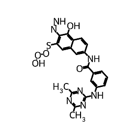 Cc1nc(C)nc(Nc2cccc(C(=O)Nc3ccc4c(O)c(N=N)c(SOOO)cc4c3)c2)n1